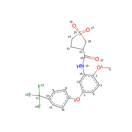 COc1ccc(Oc2ccc(C(F)(F)F)cc2)cc1NC(=O)C1CCS(=O)(=O)C1